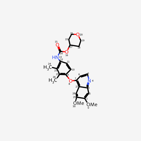 COc1cc2nccc(Oc3ccc(NC(=O)OC4CCOCC4)c(C)c3C)c2cc1OC